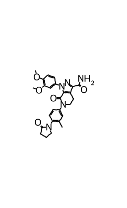 COc1ccc(-n2nc(C(N)=O)c3c2C(=O)N(c2ccc(N4CCCC4=O)c(C)c2)CC3)cc1OC